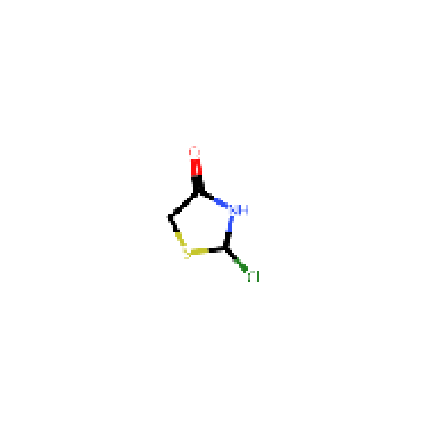 O=C1CSC(Cl)N1